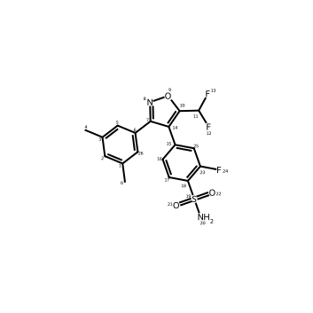 Cc1cc(C)cc(-c2noc(C(F)F)c2-c2ccc(S(N)(=O)=O)c(F)c2)c1